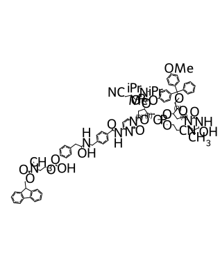 COc1ccc(C(OC[C@H]2O[C@@H](N3C=C(C)C(O)NC3=O)CC2OP(OCCC#N)OC[C@H]2O[C@@H](n3ccc(NC(=O)c4ccc(CNC(O)Cc5ccc(OC(O)OCCN(C)C(=O)OCC6c7ccccc7-c7ccccc76)cc5)cc4)nc3=O)CC2OP(OCCC#N)N(C(C)C)C(C)C)(c2ccccc2)c2ccc(OC)cc2)cc1